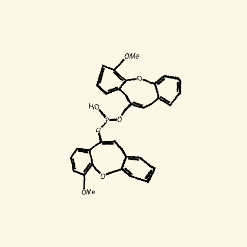 COc1cccc2c1Oc1ccccc1C=C2OP(O)OC1=Cc2ccccc2Oc2c(OC)cccc21